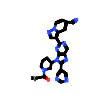 CC(=O)N1CCCC(n2c(-c3cncnc3)nc3cnc(-c4cnn5ccc(C#N)cc45)nc32)C1